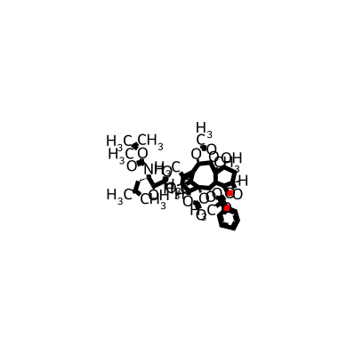 CC(=O)O[C@H]1C(=O)[C@@]2(C)C([C@H](OC(=O)c3ccccc3)[C@]34OC(=O)O[C@H]3[C@H](OC(=O)[C@H](O)[C@H](CC(C)C)NC(=O)OC(C)(C)C)C(C)=C1C4(C)C)[C@]1(OC(C)=O)CO[C@@H]1C[C@H]2O